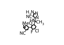 COc1c(C(C)Nc2ncnc(N)c2C#N)cc(Cl)c(F)c1-c1cncc(C#N)c1